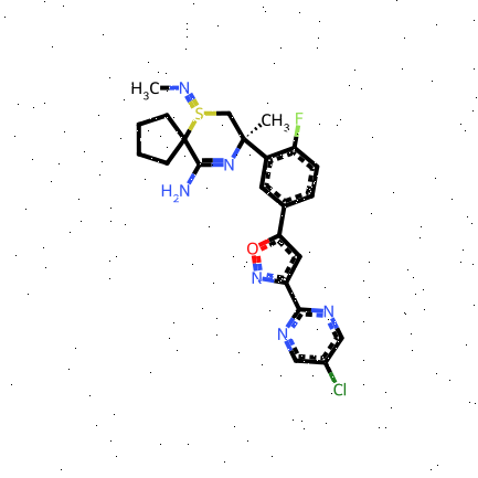 C/N=S1/C[C@@](C)(c2cc(-c3cc(-c4ncc(Cl)cn4)no3)ccc2F)N=C(N)C12CCCC2